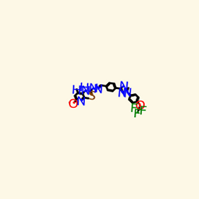 COc1cc(C)c(NC(=S)N/N=C/c2ccc(-c3ncn(-c4ccc(OC(F)(F)F)cc4)n3)cc2)c(C)n1